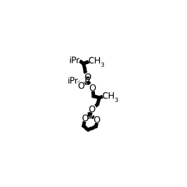 CC(COB1OCCCO1)COB(OCC(C)C(C)C)OC(C)C